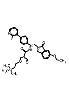 CCOc1ccc2c(c1)C(=O)N(C[C@H](NC(=O)N(C=O)COCC[Si](C)(C)C)c1ccc(-c3cccnc3F)cc1)C2